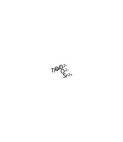 [O-2].[O-2].[O-2].[Sr+2].[Ti+4]